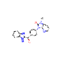 CCn1c(=O)n(-c2ccc(C(=O)c3nc4ccccc4[nH]3)cc2)c2ncccc21